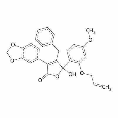 C=CCOc1cc(OC)ccc1C1(O)OC(=O)C(c2ccc3c(c2)OCO3)=C1Cc1ccccc1